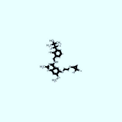 COc1cc2nc(C)nc(NCc3cccc(C(F)(F)C(C)(C)O)c3F)c2cc1OCCOC1CC1(F)F